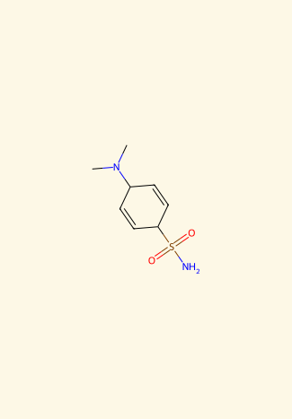 CN(C)C1C=CC(S(N)(=O)=O)C=C1